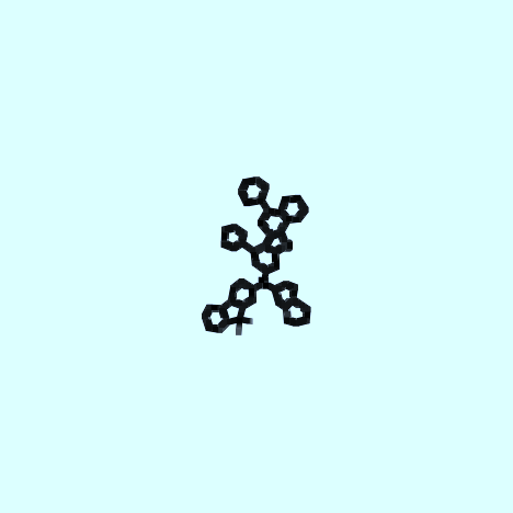 CC1(C)c2ccccc2-c2ccc(N(c3ccc4ccccc4c3)c3cc(-c4ccccc4)c4c(c3)oc3c5ccccc5c(-c5ccccc5)cc34)cc21